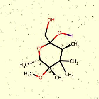 CO[C@]1(C)[C@H](C)OC(CO)(OI)[C@@H](C)C1(C)C